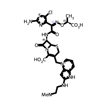 CNCCNc1cc2c(ccc[n+]2CC2=C(C(=O)O)N3C(=O)[C@@H](NC(=O)/C(=N\O[C@@H](C)C(=O)O)c4nc(N)sc4Cl)C3SC2)[nH]1